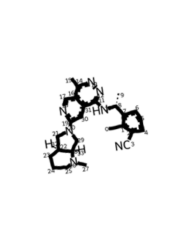 Cc1c(C#N)cccc1[C@@H](C)Nc1nnc(C)c2cnc(N3C[C@@H]4CCCN(C)[C@@H]4C3)cc12